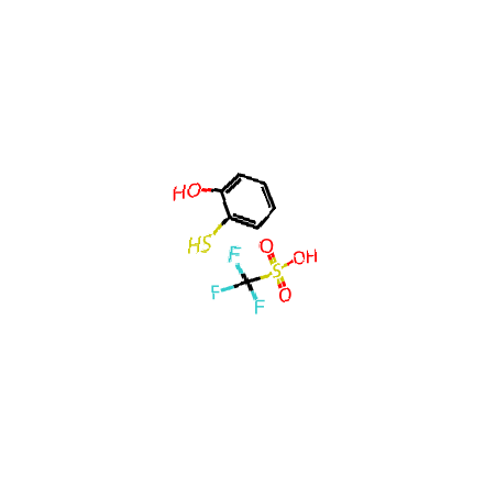 O=S(=O)(O)C(F)(F)F.Oc1ccccc1S